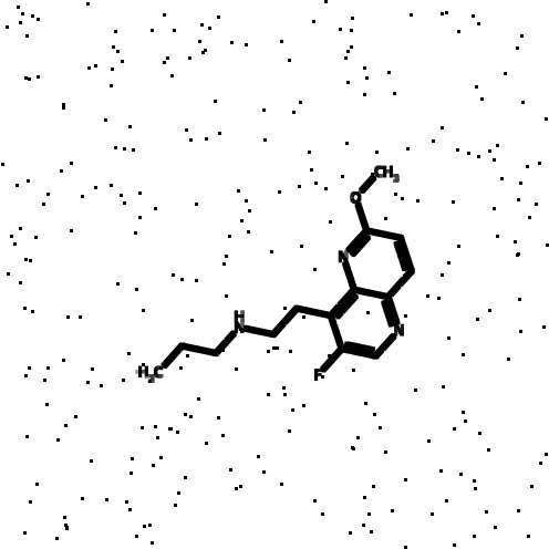 [CH2]CCNCCc1c(F)cnc2ccc(OC)nc12